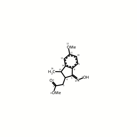 COC(=O)CC1/C(=N/O)c2ccc(OC)cc2C1C